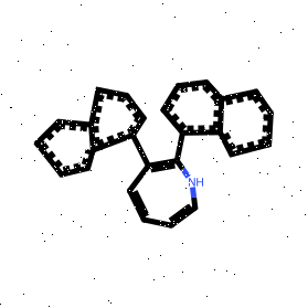 C1=CNC(c2cccc3ccccc23)=C(c2cccc3ccccc23)C=C1